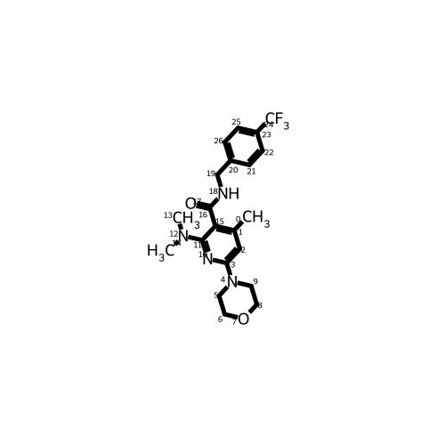 Cc1cc(N2CCOCC2)nc(N(C)C)c1C(=O)NCc1ccc(C(F)(F)F)cc1